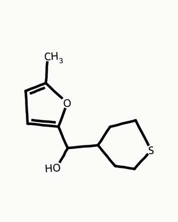 Cc1ccc(C(O)C2CCSCC2)o1